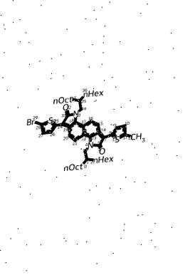 CCCCCCCCC(CCCCCC)CN1C(=O)C(c2ccc(C)s2)=c2ccc3c4c(ccc3c21)=C(c1ccc(Br)s1)C(=O)N4CC(CCCCCC)CCCCCCCC